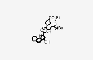 CCOC(=O)N1CCN(C(=O)C(CCC(=O)OC(C)(C)C)NC(=O)c2cc(O)c3ccc4c(c3n2)CCCC4)CC1